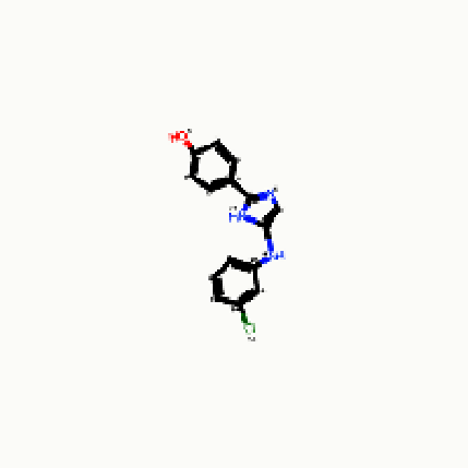 Oc1ccc(-c2ncc(Nc3cccc(Cl)c3)[nH]2)cc1